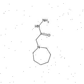 NNC(=O)CN1CCCCCC1